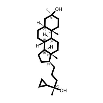 C[C@]1(O)CC[C@@]2(C)[C@@H](CC[C@@H]3[C@@H]2CC[C@]2(C)[C@@H](CCC[C@](C)(O)C4CC4)CC[C@@H]32)C1